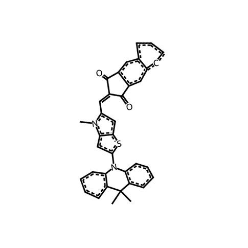 Cn1c(C=C2C(=O)c3cc4ccccc4cc3C2=O)cc2sc(N3c4ccccc4C(C)(C)c4ccccc43)cc21